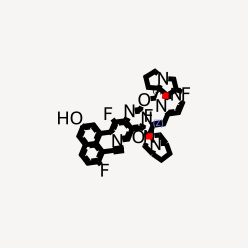 C#Cc1c(F)ccc2cc(O)cc(-c3ncc4c(N5CC6CCC(C5)N6C(=O)/C(F)=C/c5ccncn5)nc(OC[C@@]56CCCN5CC(F)C6)nc4c3F)c12